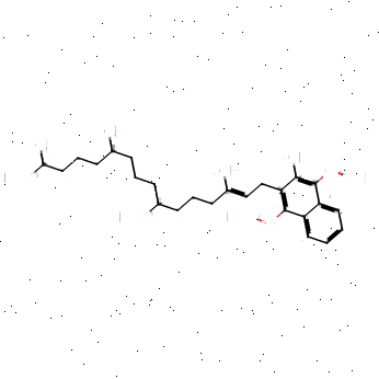 COc1c(C)c(C/C=C(\C)CCCC(C)CCCC(C)CCCC(C)C)c(OC)c2ccccc12